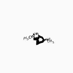 CNc1ccc(CN(C)C)c(F)c1